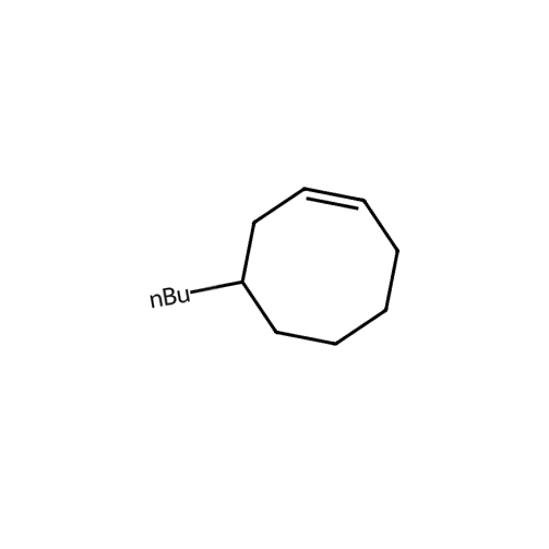 C[CH]CCC1CC=CCCCC1